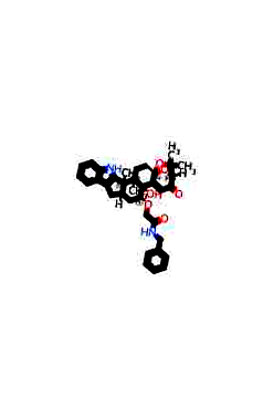 CC1(C)O[C@@]23CC[C@]4(C)[C@@]5(C)c6[nH]c7ccccc7c6C[C@@H]5C[C@H](OCC(=O)NCc5ccccc5)[C@@]4(O)C2=CC(=O)[C@@H]1O3